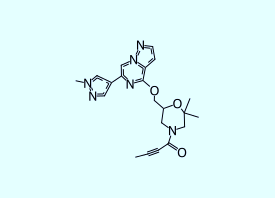 CC#CC(=O)N1CC(COc2nc(-c3cnn(C)c3)cn3nccc23)OC(C)(C)C1